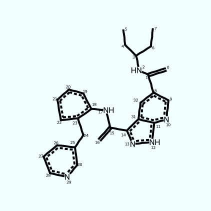 C=C(NC(CC)CC)c1cnc2[nH]nc(C(=C)Nc3ccccc3Cc3cccnc3)c2c1